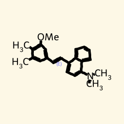 COc1cc(/C=C/c2ccc(N(C)C)c3ccccc23)cc(C)c1C